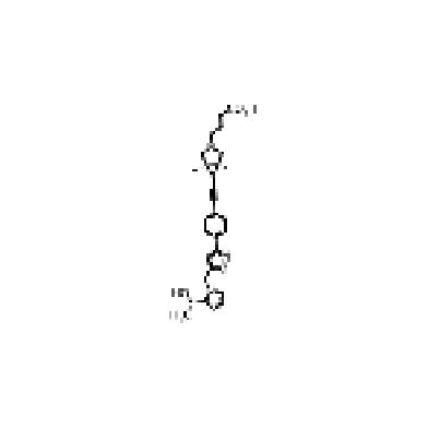 C[C@H](O)c1nccn1Cc1cc(-c2ccc(C#CC3[C@H]4CN(CCCC(=O)O)C[C@@H]34)cc2)no1